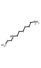 CCCNCCCCCCN